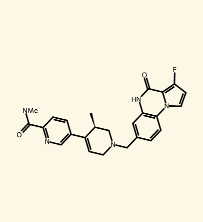 CNC(=O)c1ccc(C2=CCN(Cc3ccc4c(c3)[nH]c(=O)c3c(F)ccn34)C[C@@H]2C)cn1